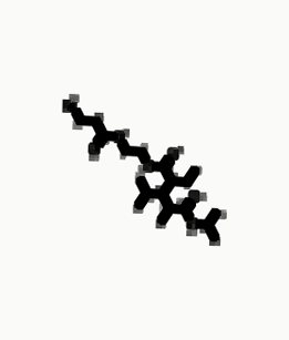 CCC(C(=O)OCCOC(=O)CCBr)C(C(C)C)C(C)C(=O)OC(C)C